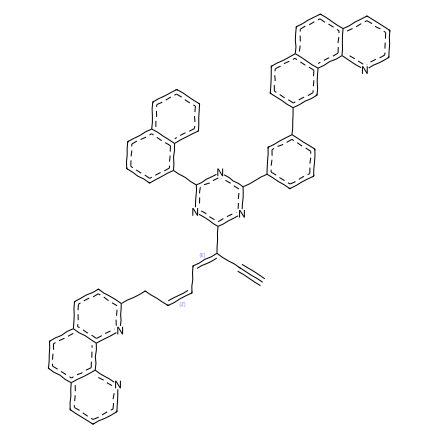 C#C/C(=C\C=C/Cc1ccc2ccc3cccnc3c2n1)c1nc(-c2cccc(-c3ccc4ccc5cccnc5c4c3)c2)nc(-c2cccc3ccccc23)n1